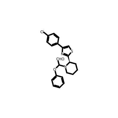 O=CC(Oc1ccccc1)N1CCCC[C@@H]1c1nc(-c2ccc(Cl)cc2)cs1